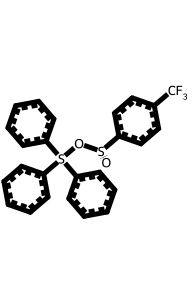 O=S(OS(c1ccccc1)(c1ccccc1)c1ccccc1)c1ccc(C(F)(F)F)cc1